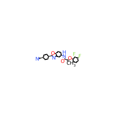 C[C@H](Oc1cccc(F)c1F)C(=O)Nc1ccc2oc(-c3ccc(C#N)cc3)nc2c1